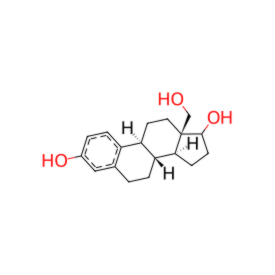 OC[C@]12CC[C@@H]3c4ccc(O)cc4CC[C@H]3[C@@H]1CCC2O